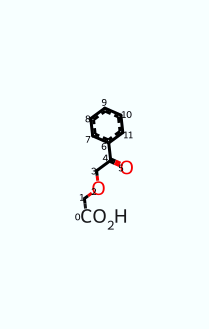 O=C(O)COCC(=O)c1ccccc1